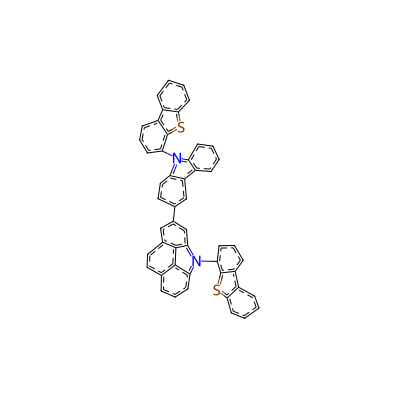 c1ccc2c(c1)sc1c(-n3c4ccccc4c4cc(-c5cc6ccc7cccc8c7c6c(c5)n8-c5cccc6c5sc5ccccc56)ccc43)cccc12